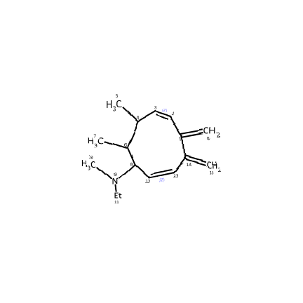 C=C1/C=C\C(C)C(C)C(N(C)CC)/C=C\C1=C